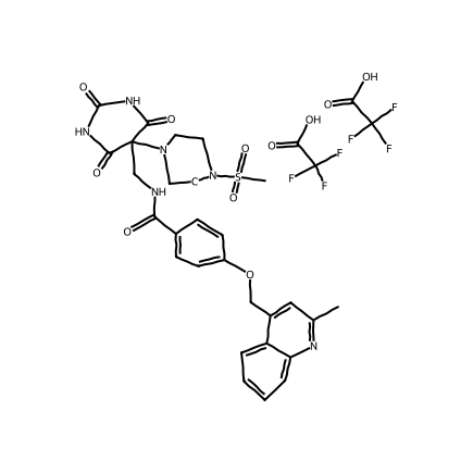 Cc1cc(COc2ccc(C(=O)NCC3(N4CCN(S(C)(=O)=O)CC4)C(=O)NC(=O)NC3=O)cc2)c2ccccc2n1.O=C(O)C(F)(F)F.O=C(O)C(F)(F)F